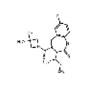 CCC(C)C1C(=O)Nc2ccc(F)cc2CN1C(=O)N1CC(C)(O)C1